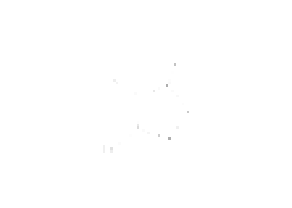 CCC1CCC(C)N1I